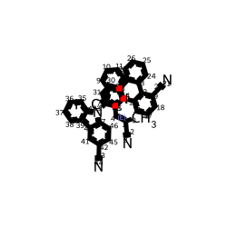 C/C(C#N)=C\c1c(C)c2ccccc2n1-c1cccc(C#N)c1-c1ccccc1-c1ccc(-n2c3ccccc3c3cc(C#N)ccc32)cc1